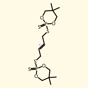 CC1(C)COP(=S)(SC/C=C/CSP2(=S)OCC(C)(C)CO2)OC1